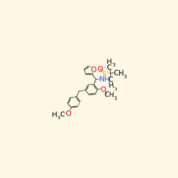 COc1ccc(Cc2ccc(OC)c(C(N[S@@+]([O-])C(C)(C)C)c3ccco3)c2)cc1